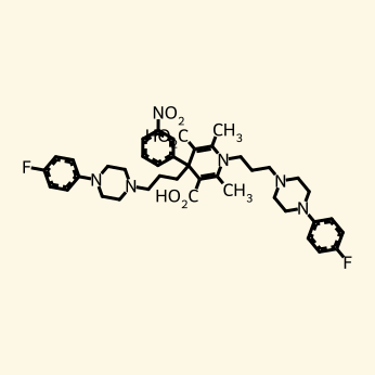 CC1=C(C(=O)O)C(CCCN2CCN(c3ccc(F)cc3)CC2)(c2cccc([N+](=O)[O-])c2)C(C(=O)O)=C(C)N1CCCN1CCN(c2ccc(F)cc2)CC1